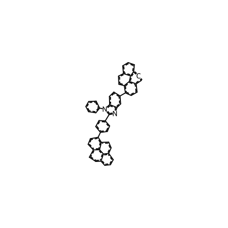 c1ccc(-n2c(-c3ccc(-c4ccc5ccc6cccc7ccc4c5c67)cc3)nc3cc(-c4ccc5ccc6cccc7ccc4c5c67)ccc32)cc1